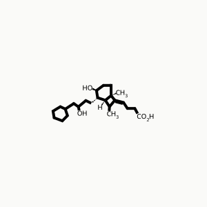 CC1C(=CCCC(=O)O)[C@]2(C)CC[C@H](O)[C@@H](CCC(O)CC3CCCCC3)[C@H]12